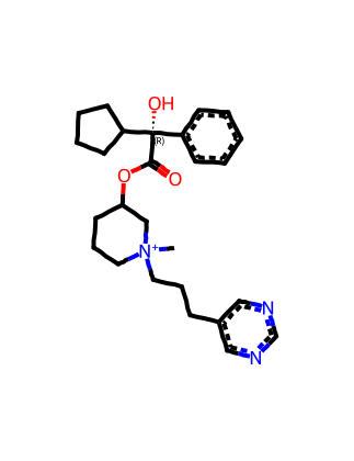 C[N+]1(CCCc2cncnc2)CCCC(OC(=O)[C@](O)(c2ccccc2)C2CCCC2)C1